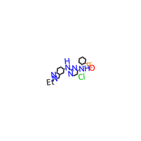 CCn1cc2cc(Nc3ncc(Cl)c(Nc4ccccc4P(C)(C)=O)n3)ccc2n1